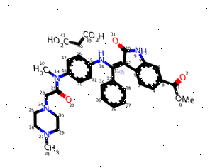 COC(=O)c1ccc2c(c1)NC(=O)/C2=C(\Nc1ccc(N(C)C(=O)CN2CCN(C)CC2)cc1)c1ccccc1.O=C(O)CC(=O)O